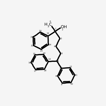 CC(O)(CCCC(c1ccccc1)c1ccccc1)c1ccccc1